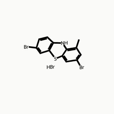 Br.Cc1cc(Br)cc2c1Nc1ccc(Br)cc1S2